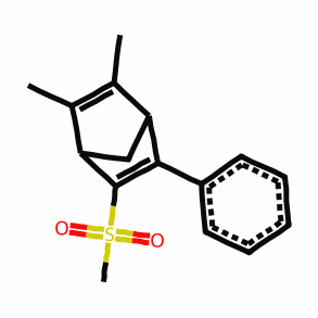 CC1=C(C)C2CC1C(c1ccccc1)=C2S(C)(=O)=O